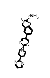 CN(Cc1cccc(-c2cnc(N3CCC(c4ncccn4)CC3)nc2)c1)C(=O)CN